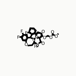 COC(=O)OCOc1c2n(ccc1=O)N1C(c3ccccc3F)c3cc(F)c(F)cc3OCC[C@H]1N(C)C2=O